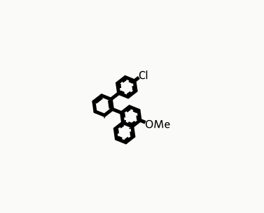 COc1ccc(C2=C(c3ccc(Cl)cc3)C=CC[CH]2)c2ccccc12